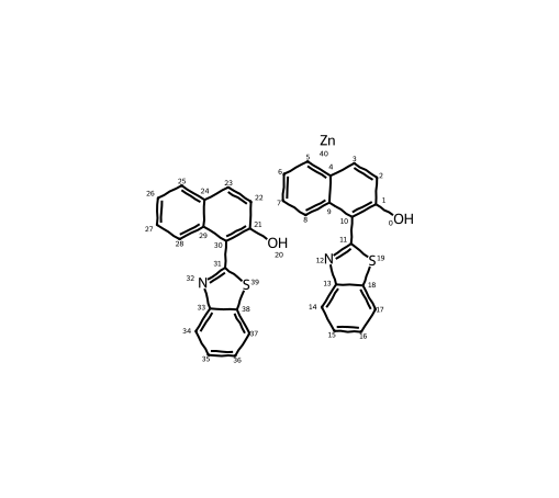 Oc1ccc2ccccc2c1-c1nc2ccccc2s1.Oc1ccc2ccccc2c1-c1nc2ccccc2s1.[Zn]